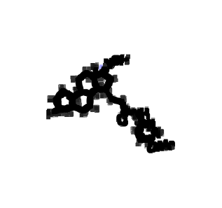 COc1ccc(NC(=O)CC[C@@H]2C/C(=N\O)[C@@]3(C)CCC4c5ccc(F)cc5CCC4C23)nn1